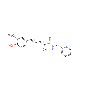 COc1cc(/C=C/C=C(\C#N)C(=O)NCc2ccccn2)ccc1O